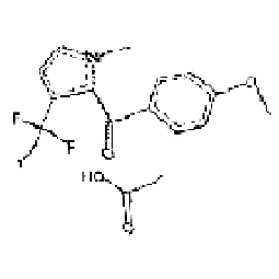 CC(=O)O.COc1ccc(C(=O)c2c(C(F)(F)F)ccn2C)cc1